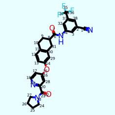 N#Cc1cc(NC(=O)C2CCc3ccc(Oc4ccnc(C(=O)N5CCCC5)c4)cc3C2)cc(C(F)(F)F)c1